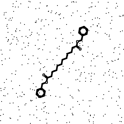 O=C(CCCCCCCCCCC(=O)OCc1ccccc1)OCc1ccccc1